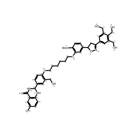 COc1ccc(C2CC(c3cc(CO)c(CO)c(CO)c3)=NO2)cc1OCCCCCCOc1ccc(C2NC(=O)c3cc(Cl)ccc3N2)cc1CO